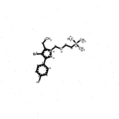 CCc1c(Br)c(-c2ccc(F)cc2)nn1COCC[Si](C)(C)C